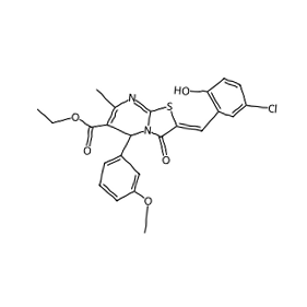 CCOC(=O)C1=C(C)N=c2sc(=Cc3cc(Cl)ccc3O)c(=O)n2C1c1cccc(OC)c1